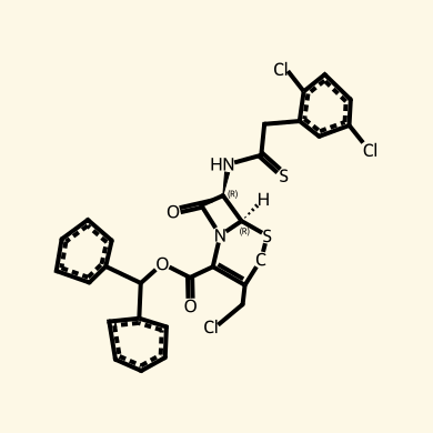 O=C(OC(c1ccccc1)c1ccccc1)C1=C(CCl)CS[C@@H]2[C@H](NC(=S)Cc3cc(Cl)ccc3Cl)C(=O)N12